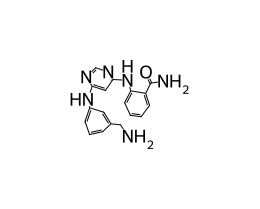 NCc1cccc(Nc2cc(Nc3ccccc3C(N)=O)ncn2)c1